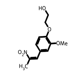 COc1cc(/C=C(/C)[N+](=O)[O-])ccc1OCCO